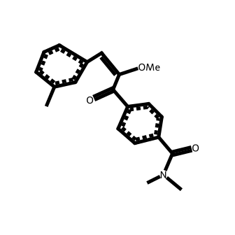 COC(=Cc1cccc(C)c1)C(=O)c1ccc(C(=O)N(C)C)cc1